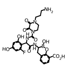 NCCCN1CCN(C(=O)NC(C(=O)NC2Cc3cccc(C(=O)O)c3OB2O)c2c(O)cc(O)cc2F)C(=O)C1=O